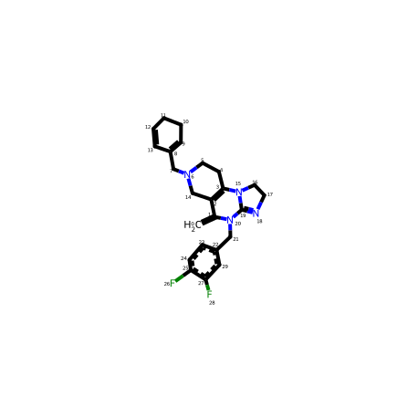 C=C1C2=C(CCN(CC3=CCCC=C3)C2)N2CCN=C2N1Cc1ccc(F)c(F)c1